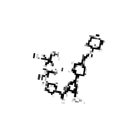 Cc1cc(-c2ccc(COC3CCOCC3)cc2)sc1C(=O)N1CC[C@H](NC(=O)OC(C)(C)C)C1